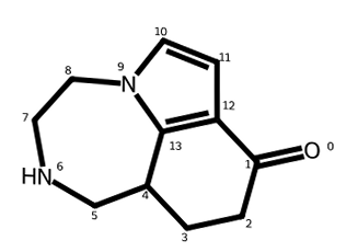 O=C1CCC2CNCCn3ccc1c32